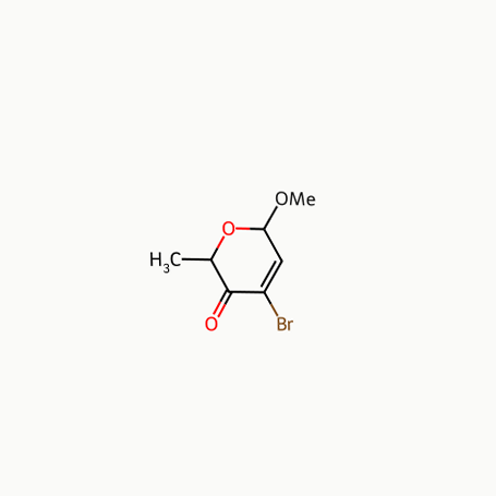 COC1C=C(Br)C(=O)C(C)O1